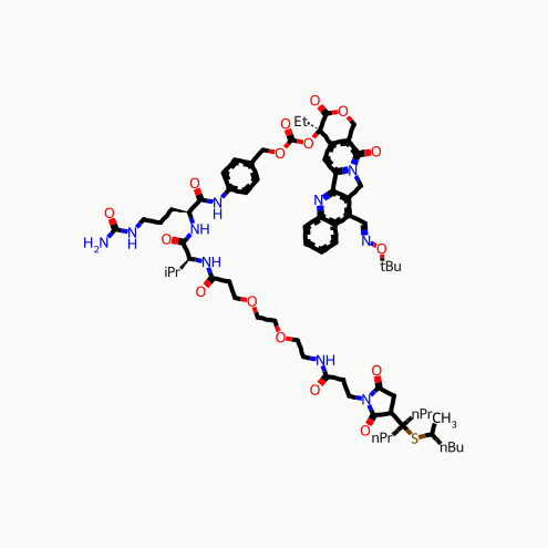 CCCCC(C)SC(CCC)(CCC)C1CC(=O)N(CCC(=O)NCCOCCOCCC(=O)N[C@H](C(=O)N[C@@H](CCCNC(N)=O)C(=O)Nc2ccc(COC(=O)O[C@@]3(CC)C(=O)OCc4c3cc3n(c4=O)Cc4c-3nc3ccccc3c4/C=N/OC(C)(C)C)cc2)C(C)C)C1=O